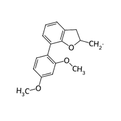 [CH2]C1Cc2cccc(-c3ccc(OC)cc3OC)c2O1